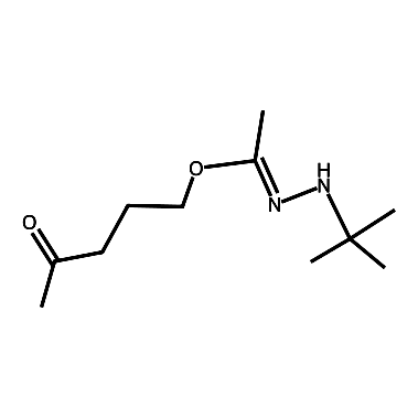 CC(=O)CCCOC(C)=NNC(C)(C)C